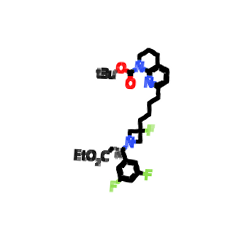 CCOC(=O)C[C@@H](c1cc(F)cc(F)c1)N1CC(F)(CCCCc2ccc3c(n2)N(C(=O)OC(C)(C)C)CCC3)C1